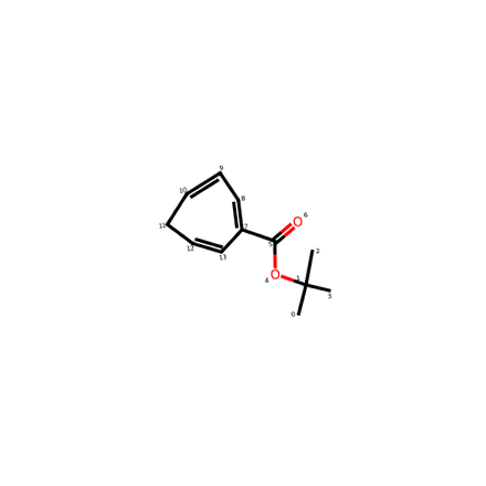 CC(C)(C)OC(=O)C1=CC=CCC=C1